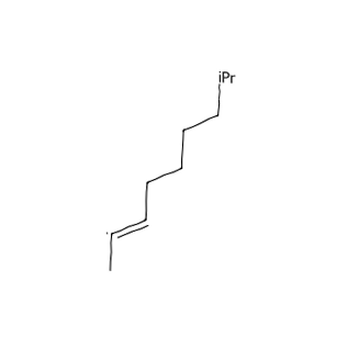 C[C]=CCCCCC(C)C